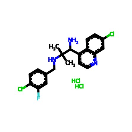 CC(C)(NCc1ccc(Cl)c(F)c1)C(N)c1ccnc2cc(Cl)ccc12.Cl.Cl